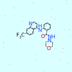 O=C(NN1CCOCC1)c1ccccc1Nc1ccnc2cc(C(F)(F)F)ccc12